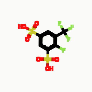 O=S(=O)(O)c1cc(C(F)(F)F)c(F)c(S(=O)(=O)O)c1